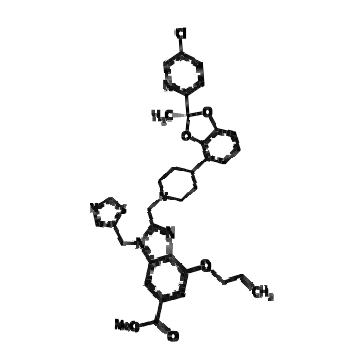 C=CCOc1cc(C(=O)OC)cc2c1nc(CN1CCC(c3cccc4c3O[C@@](C)(c3ccc(Cl)cn3)O4)CC1)n2Cc1cncs1